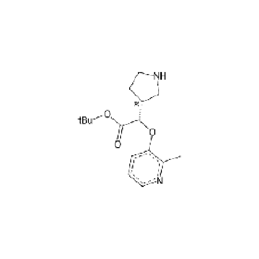 Cc1ncccc1OC(C(=O)OC(C)(C)C)[C@@H]1CCNC1